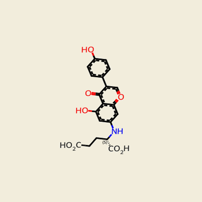 O=C(O)CC[C@H](Nc1cc(O)c2c(=O)c(-c3ccc(O)cc3)coc2c1)C(=O)O